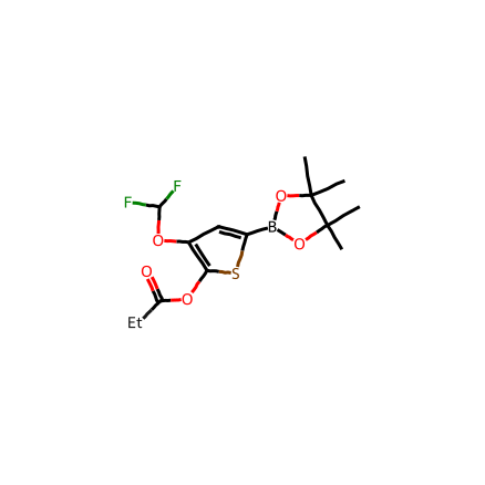 CCC(=O)Oc1sc(B2OC(C)(C)C(C)(C)O2)cc1OC(F)F